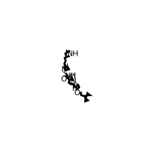 CC1(C)CC(CCCn2ccc(SNC(=O)c3ccc(-n4ccc(OCCC5C6(CC6)C56CC6)n4)nc3Cl)n2)CN1